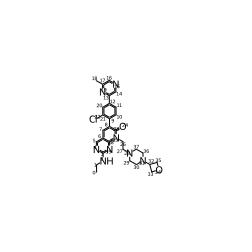 CCNc1ncc2cc(-c3ccc(-c4cncc(C)n4)cc3Cl)c(=O)n(CCN3CCN(C4COC4)CC3)c2n1